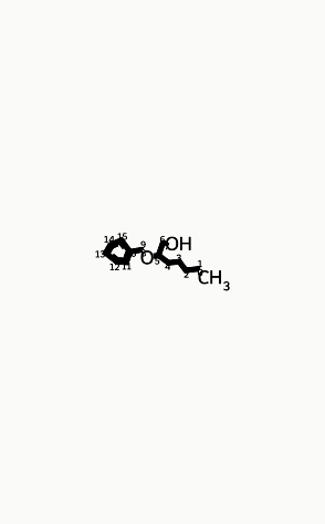 CCCCCC(CO)OCc1ccccc1